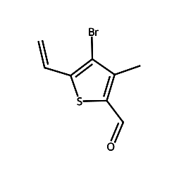 C=Cc1sc(C=O)c(C)c1Br